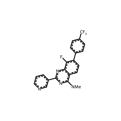 CNc1nc(-c2cccnc2)nc2c(F)c(-c3ccc(C(F)(F)F)cc3)ccc12